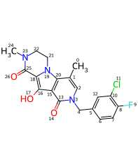 Cc1cn(Cc2ccc(F)c(Cl)c2)c(=O)c2c(O)c3n(c12)CCN(C)C3=O